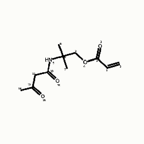 C=CC(=O)OCC(C)(C)NC(=O)CC(C)=O